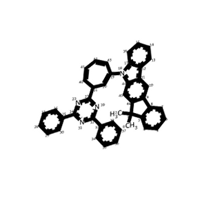 CC1(C)c2ccccc2-c2cc3c4ccccc4n(C4=CC(c5nc(-c6ccccc6)nc(-c6ccccc6)n5)C=CC=C4)c3cc21